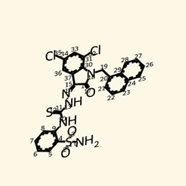 NS(=O)(=O)c1ccccc1NC(=S)NN=C1C(=O)N(Cc2cccc3ccccc23)c2c(Cl)cc(Cl)cc21